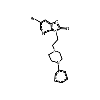 O=c1oc2cc(Br)cnc2n1CCN1CCN(c2ccccc2)CC1